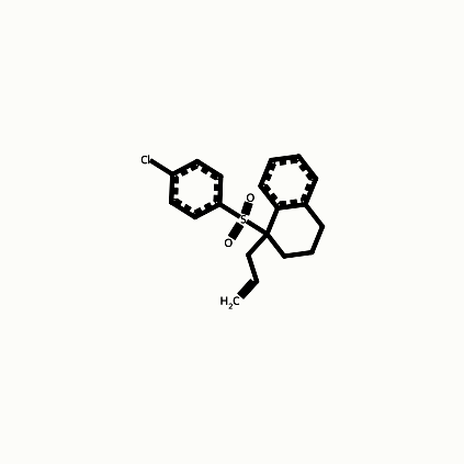 C=CCC1(S(=O)(=O)c2ccc(Cl)cc2)CCCc2ccccc21